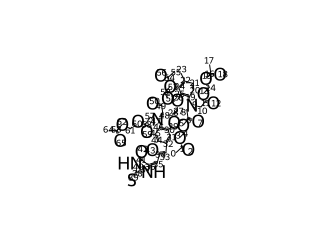 CC(=O)OCOC(=O)CN(CC(=O)OCOC(C)=O)c1ccc(C)cc1OCCOc1cc2cc(/C=C3/NC(=S)NC3=O)oc2cc1N(CC(=O)OCOC(C)=O)CC(=O)OCOC(C)=O